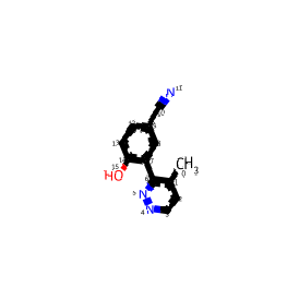 Cc1ccnnc1-c1cc(C#N)ccc1O